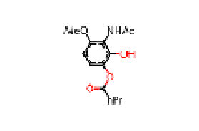 CCCC(=O)Oc1ccc(OC)c(NC(C)=O)c1O